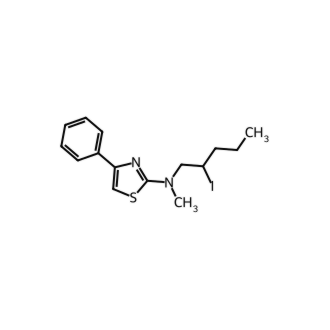 CCCC(I)CN(C)c1nc(-c2ccccc2)cs1